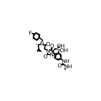 CNC(=O)Nc1ccc2c(c1)S(O)(O)CC21NC(=O)N(CC(=O)N(Cc2ccc(F)cc2)[C@@H](C)C2CC2)C1=O